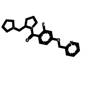 O=C(c1ccc(OCc2ccccn2)cc1F)N1CCCC1CN1CCCC1